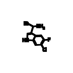 CCC(N)c1c[nH]c2cc(Cl)c(F)cc12